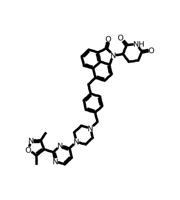 Cc1noc(C)c1-c1nccc(N2CCN(Cc3ccc(Cc4ccc5c6c(cccc46)C(=O)N5C4CCC(=O)NC4=O)cc3)CC2)n1